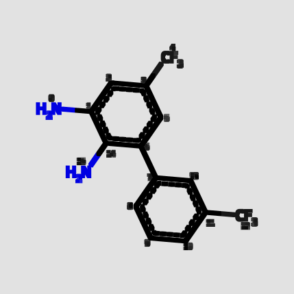 Nc1cc(C(F)(F)F)cc(-c2cccc(C(F)(F)F)c2)c1N